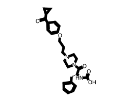 O=C(O)N[C@H](Cc1ccccc1)C(=O)N1CCN(CCCOc2ccc(C(=O)C3CC3)cc2)CC1